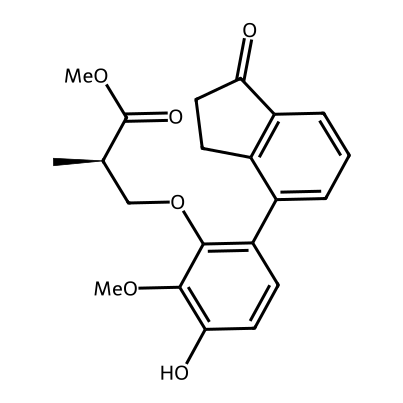 COC(=O)[C@H](C)COc1c(-c2cccc3c2CCC3=O)ccc(O)c1OC